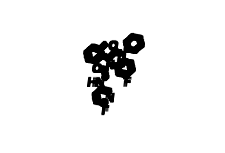 Cc1ccccc1C(C(=O)NC1CCCCC1)N(C(=O)CNc1ccc(F)nc1)c1cccc(F)c1